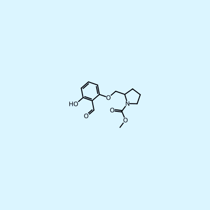 COC(=O)N1CCCC1COc1cccc(O)c1C=O